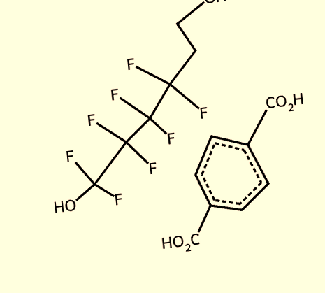 O=C(O)c1ccc(C(=O)O)cc1.OCCC(F)(F)C(F)(F)C(F)(F)C(O)(F)F